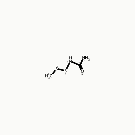 CSSNC(N)=O